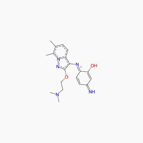 Cc1ccc2c(/N=C3\C=CC(=N)C=C3O)c(OCCN(C)C)nn2c1C